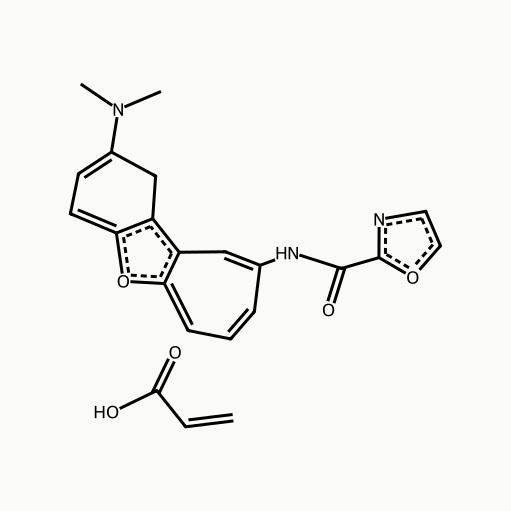 C=CC(=O)O.CN(C)C1=CC=c2oc3c(c2C1)C=C(NC(=O)c1ncco1)C=CC=3